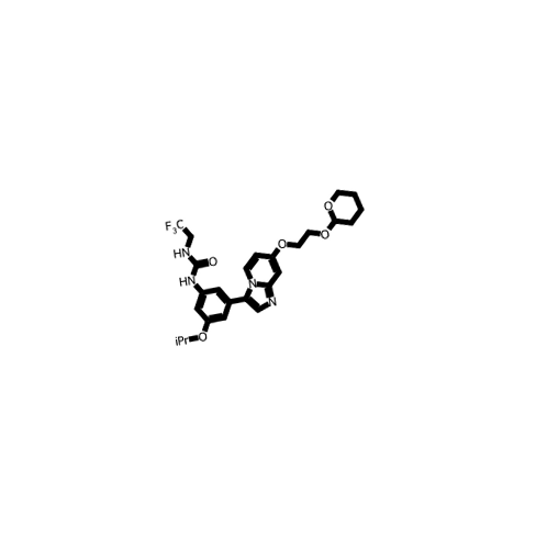 CC(C)Oc1cc(NC(=O)NCC(F)(F)F)cc(-c2cnc3cc(OCCOC4CCCCO4)ccn23)c1